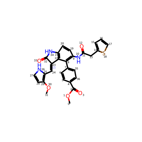 COC(=O)c1ccc(-c2c(NC(=O)Cc3cccs3)ccc3c2/C(=C/c2[nH]ccc2OC)C(=O)N3)cc1